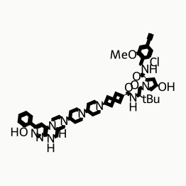 C#Cc1cc(Cl)c(CNC(=O)[C@@H]2C[C@@H](O)CN2C(=O)[C@@H](NC(=O)[C@H]2CC3(C2)C[C@H](N2CCC(N4CCC(N5CCN6c7cc(-c8ccccc8O)nnc7NC[C@H]6C5)CC4)CC2)C3)C(C)(C)C)c(OC)c1